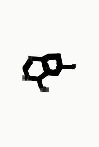 CC(C)(C)C1NC=Nc2ccc(F)cc21